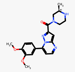 COc1ccc(-c2ccnc3cc(C(=O)N4CCN[C@H](C)C4)nn23)cc1OC